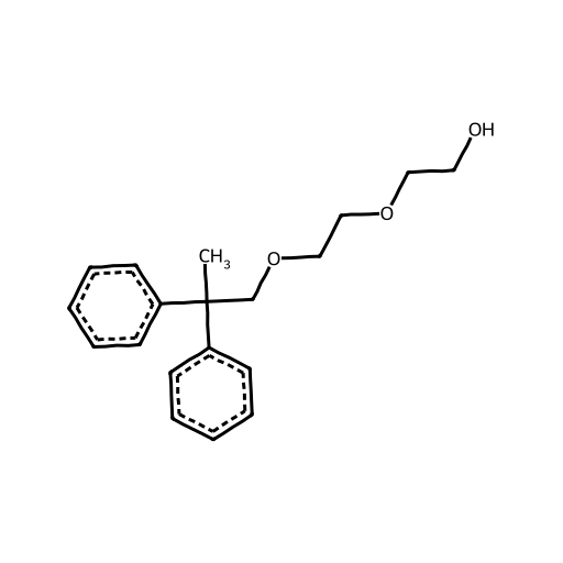 CC(COCCOCCO)(c1ccccc1)c1ccccc1